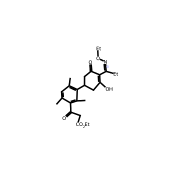 CCO/N=C(/CC)C1=C(O)CC(c2c(C)cc(C)c(C(=O)CC(=O)OCC)c2C)CC1=O